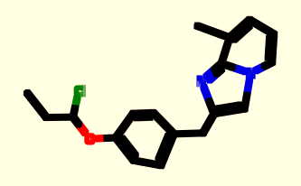 CCC(Cl)Oc1ccc(Cc2cn3cccc(C)c3n2)cc1